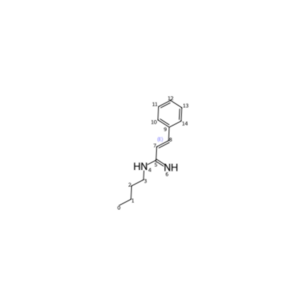 CCCCNC(=N)/C=C/c1ccccc1